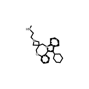 CNCCN1CC2(COc3ccccc3-c3c(C4CCCCC4)c4ccccc4n3C2)C1